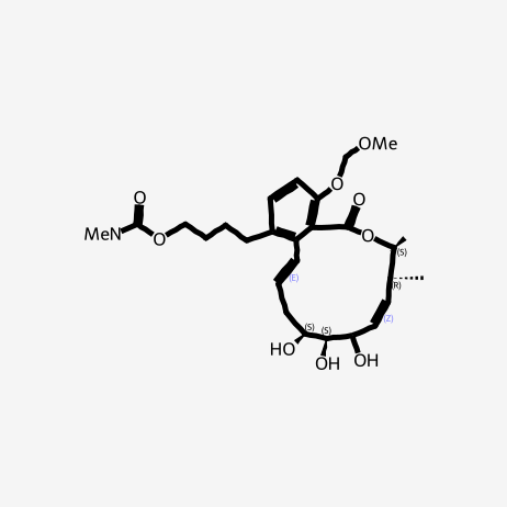 CNC(=O)OCCCCc1ccc(OCOC)c2c1/C=C/C[C@H](O)[C@H](O)C(O)/C=C\[C@@H](C)[C@H](C)OC2=O